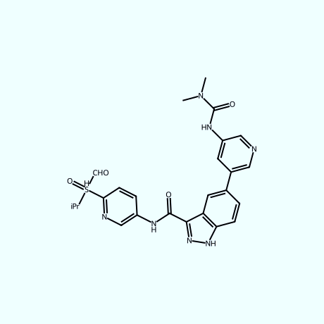 CC(C)[SH](=O)(C=O)c1ccc(NC(=O)c2n[nH]c3ccc(-c4cncc(NC(=O)N(C)C)c4)cc23)cn1